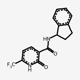 O=C(NC1CCc2ccccc21)c1ccc(C(F)(F)F)[nH]c1=O